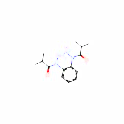 CC(C)C(=O)N(N)c1[c]cccc1N(N)C(=O)C(C)C